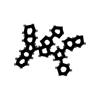 c1ccc(-c2ccc3c(-n4c5cc6ccccc6cc5c5cc6ccccc6cc54)ccc(-c4nc(-c5ccccc5)nc(-c5ccc6ccccc6c5)n4)c3c2)cc1